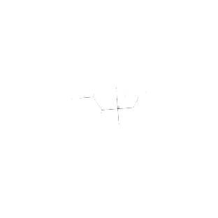 [CH2]C(CCl)(CCF)C(C)=O